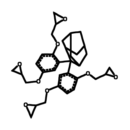 c1cc(OCC2CO2)c(C2(c3cc(OCC4CO4)ccc3OCC3CO3)C3CC4CC(C3)CC2C4)cc1OCC1CO1